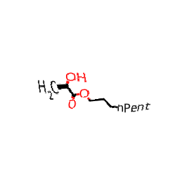 C=C(O)C(=O)OCCCCCCCC